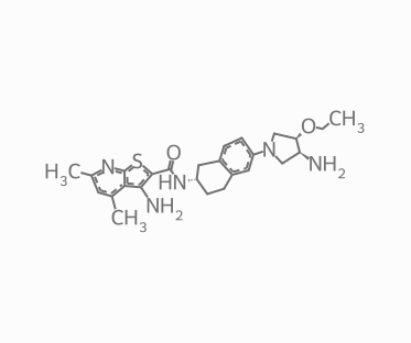 CCO[C@@H]1CN(c2ccc3c(c2)CC[C@H](NC(=O)c2sc4nc(C)cc(C)c4c2N)C3)C[C@@H]1N